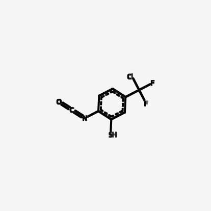 O=C=Nc1ccc(C(F)(F)Cl)cc1S